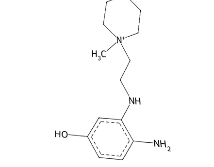 C[N+]1(CCNc2cc(O)ccc2N)CCCCC1